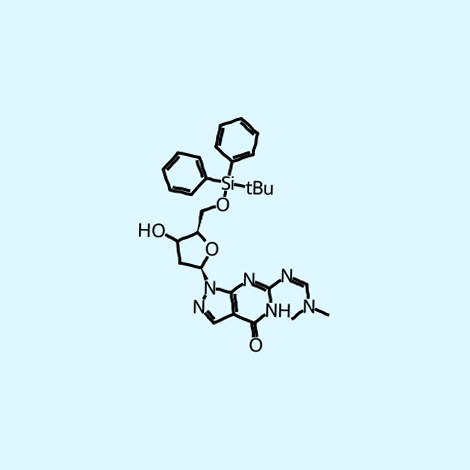 CN(C)/C=N\c1nc2c(cnn2[C@H]2CC(O)[C@@H](CO[Si](c3ccccc3)(c3ccccc3)C(C)(C)C)O2)c(=O)[nH]1